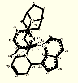 O=C(CN1CC2CCC(C1)N2c1ncc(F)cn1)N1CC=CCC1c1ccc2cccoc1-2